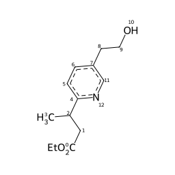 CCOC(=O)CC(C)c1ccc(CCO)cn1